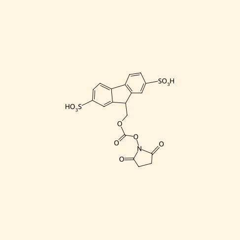 O=C(OCC1c2cc(S(=O)(=O)O)ccc2-c2ccc(S(=O)(=O)O)cc21)ON1C(=O)CCC1=O